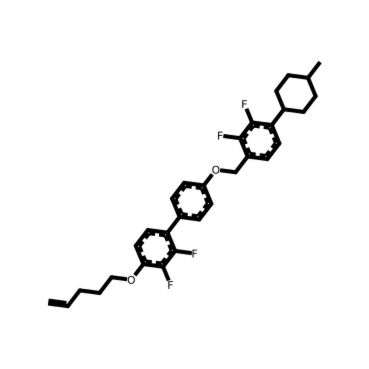 C=CCCCOc1ccc(-c2ccc(OCc3ccc(C4CCC(C)CC4)c(F)c3F)cc2)c(F)c1F